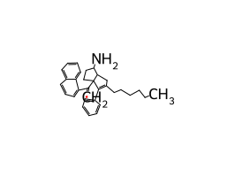 C=C(c1cccc2ccccc12)C12CCC(N)C1CC(CCCCCC)=C2c1ccccc1